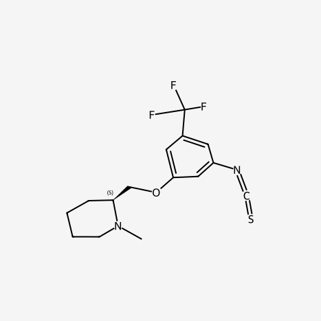 CN1CCCC[C@H]1COc1cc(N=C=S)cc(C(F)(F)F)c1